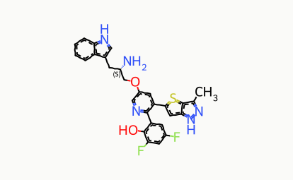 Cc1n[nH]c2cc(-c3cc(OC[C@@H](N)Cc4c[nH]c5ccccc45)cnc3-c3cc(F)cc(F)c3O)sc12